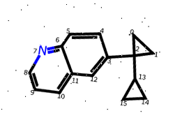 [CH]1CC1(c1ccc2ncccc2c1)C1CC1